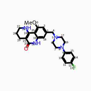 COc1cc(CN2CCN(c3ccc(F)cc3)CC2)cc2[nH]c(=O)c3c(c12)NCCC3